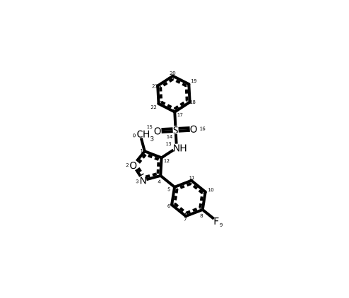 Cc1onc(-c2ccc(F)cc2)c1NS(=O)(=O)c1ccccc1